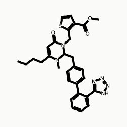 CCCCC1=CC(=O)N(Cc2sccc2C(=O)OC)C(Cc2ccc(-c3ccccc3-c3nnn[nH]3)cc2)N1C